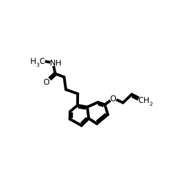 C=CCOc1ccc2cccc(CCCC(=O)NC)c2c1